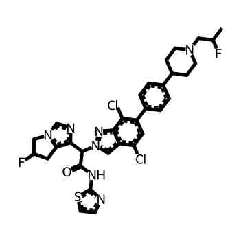 CC(F)CN1CCC(c2ccc(-c3cc(Cl)c4cn(C(C(=O)Nc5nccs5)c5ncn6c5CC(F)C6)nc4c3Cl)cc2)CC1